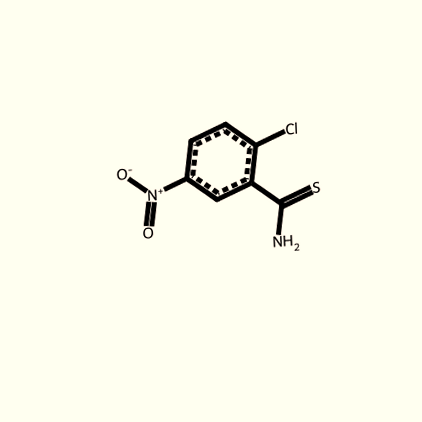 NC(=S)c1cc([N+](=O)[O-])ccc1Cl